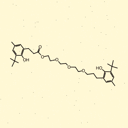 Cc1cc(CCCOCCOCCOCCOC(=O)CCc2cc(C)cc(C(C)(C)C)c2O)c(O)c(C(C)(C)C)c1